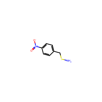 NSCc1ccc([N+](=O)[O-])cc1